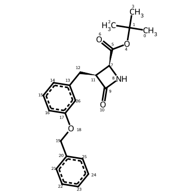 CC(C)(C)OC(=O)[C@H]1NC(=O)[C@H]1Cc1cccc(OCc2ccccc2)c1